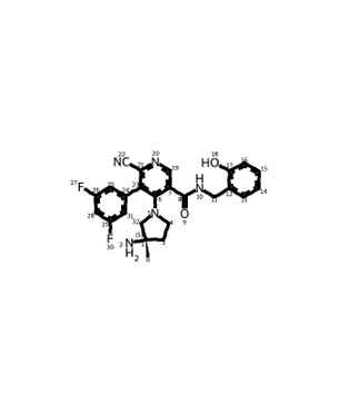 C[C@]1(N)CCN(c2c(C(=O)NCc3ccccc3O)cnc(C#N)c2-c2cc(F)cc(F)c2)C1